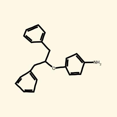 Nc1ccc(OC(Cc2ccccc2)Cc2ccccc2)cc1